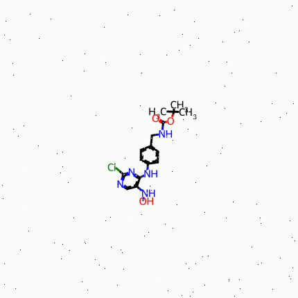 CC(C)(C)OC(=O)NCc1ccc(Nc2nc(Cl)ncc2NO)cc1